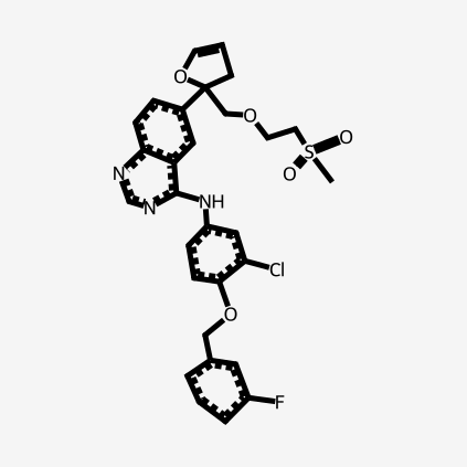 CS(=O)(=O)CCOCC1(c2ccc3ncnc(Nc4ccc(OCc5cccc(F)c5)c(Cl)c4)c3c2)CC=CO1